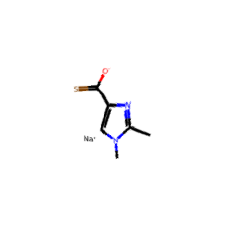 Cc1nc(C([O-])=S)cn1C.[Na+]